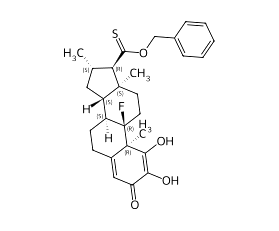 C[C@H]1C[C@H]2[C@@H]3CCC4=CC(=O)C(O)=C(O)[C@]4(C)[C@@]3(F)CC[C@]2(C)[C@@H]1C(=S)OCc1ccccc1